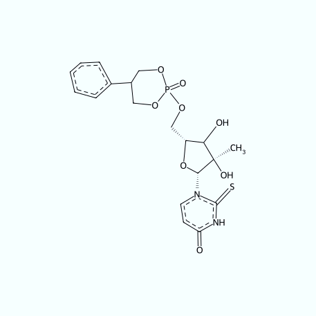 C[C@@]1(O)C(O)[C@@H](COP2(=O)OCC(c3ccccc3)CO2)O[C@H]1n1ccc(=O)[nH]c1=S